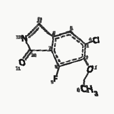 COc1c(Cl)cc2c(c1F)C(=O)N=C2